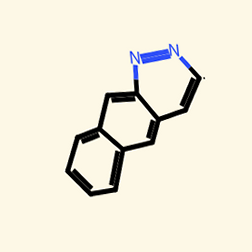 [c]1cc2cc3ccccc3cc2nn1